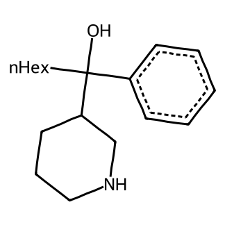 CCCCCCC(O)(c1ccccc1)C1CCCNC1